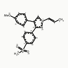 CC=Cn1cc(-c2ccc(OC)cc2)c(-c2ccc(S(C)(=O)=O)cc2)n1